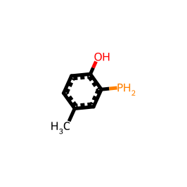 Cc1ccc(O)c(P)c1